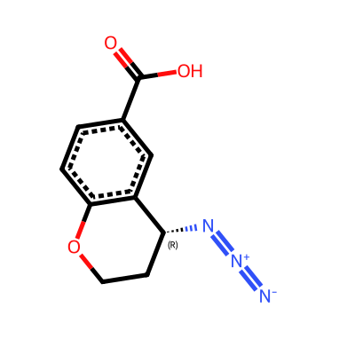 [N-]=[N+]=N[C@@H]1CCOc2ccc(C(=O)O)cc21